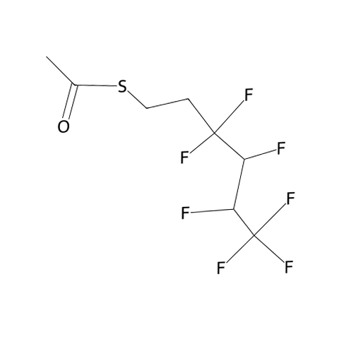 CC(=O)SCCC(F)(F)C(F)C(F)C(F)(F)F